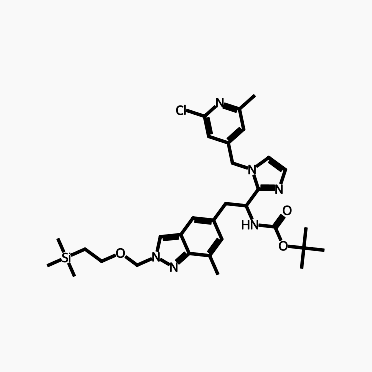 Cc1cc(Cn2ccnc2C(Cc2cc(C)c3nn(COCC[Si](C)(C)C)cc3c2)NC(=O)OC(C)(C)C)cc(Cl)n1